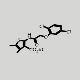 CCOC(=O)c1c(NC(=O)COc2cc(Cl)ccc2Cl)sc(C)c1C